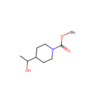 [CH2]C(O)C1CCN(C(=O)OC(C)(C)C)CC1